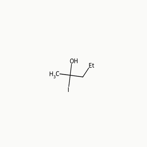 CCCC(C)(O)I